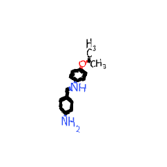 CC(C)Oc1ccc(NCC2CCC(N)CC2)cc1